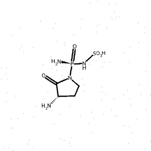 N[C@H]1CCN([P@](N)(=O)NS(=O)(=O)O)C1=O